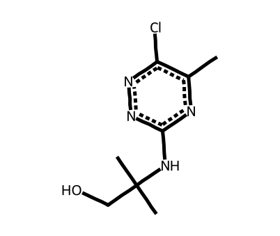 Cc1nc(NC(C)(C)CO)nnc1Cl